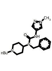 CCCCN1CCC(N(Cc2ccccc2)C(=O)Nc2cnn(C)c2)CC1